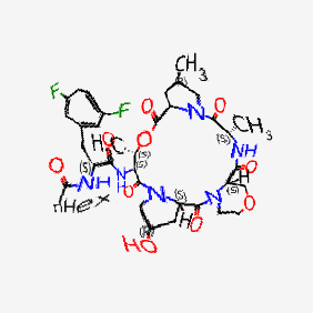 CCCCCCC(=O)N[C@@H](Cc1cc(F)cc(F)c1)C(=O)N[C@@H]1C(=O)N2C[C@H](O)C[C@H]2C(=O)N2CCOC[C@H]2C(=O)N[C@@H](C)C(=O)N2C[C@H](C)CC2C(=O)O[C@H]1C